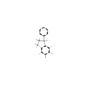 CC1(Br)c2c(Br)c(Br)c(Br)c(Br)c2C(Br)(c2ccccc2)C1(Br)Br